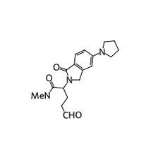 CNC(=O)C(CCC=O)N1Cc2cc(N3CCCC3)ccc2C1=O